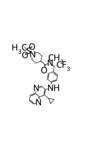 CN(C(=O)C1CCN(S(C)(=O)=O)CC1)[C@@H](c1ccc(Nc2cnc3cccnc3c2C2CC2)cc1)C(F)(F)F